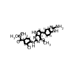 COc1nc(Nc2ccc(C(=O)N(C)C)cc2Cl)nc2[nH]cc(-c3ccc4[nH]c(N)nc4c3)c12